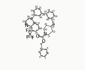 O=C(OCc1ccccc1)N1CCC(Sc2cccc(-c3cccc(-c4ccnc5c(C(F)(F)F)cccc45)c3)c2)CC1